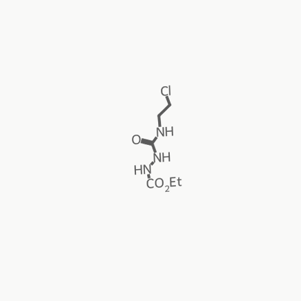 CCOC(=O)NNC(=O)NCCCl